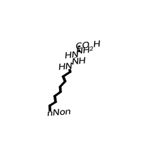 CCCCCCCCCCCCCCCCCNNNNC(=O)O